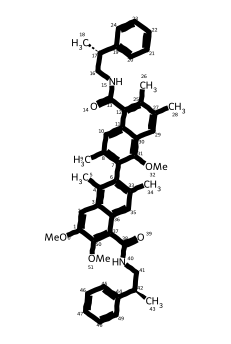 COc1cc2c(C)c(-c3c(C)cc4c(C(=O)NC[C@H](C)c5ccccc5)c(C)c(C)cc4c3OC)c(C)cc2c(C(=O)NC[C@@H](C)c2ccccc2)c1OC